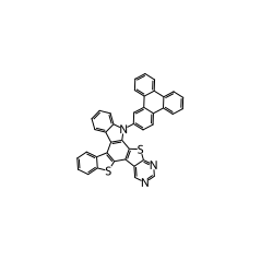 c1ccc2c(c1)sc1c3c4cncnc4sc3c3c(c4ccccc4n3-c3ccc4c5ccccc5c5ccccc5c4c3)c21